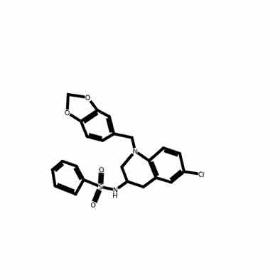 O=S(=O)(NC1Cc2cc(Cl)ccc2N(Cc2ccc3c(c2)OCO3)C1)c1ccccc1